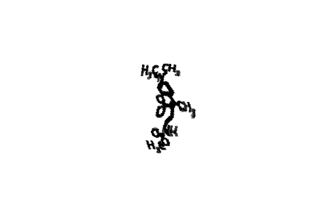 CCN(CC)c1ccc2c(C)c(CCNC(=O)OC)c(=O)oc2c1